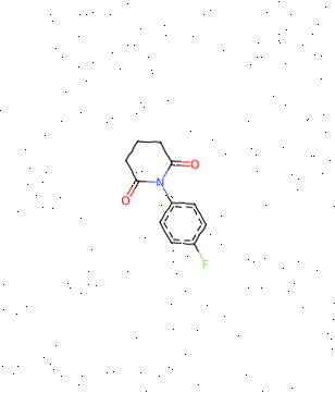 O=C1CCCC(=O)N1c1ccc(F)cc1